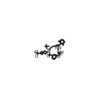 COC(=O)C1CC2(C1)CC(N1C(=O)c3cccc(c3)S(=O)(=O)Nc3nc(cc(-c4c(C)cccc4C)n3)CC[C@H]1CC(C)(C)C)C2